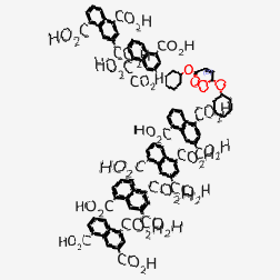 O=C(/C=C\C(=O)OC1CCCCC1)OC1CCCCC1.O=C(O)c1cc(C(=O)O)c2cccc(C(=O)O)c2c1.O=C(O)c1cc(C(=O)O)c2cccc(C(=O)O)c2c1.O=C(O)c1cc(C(=O)O)c2cccc(C(=O)O)c2c1.O=C(O)c1cc(C(=O)O)c2cccc(C(=O)O)c2c1.O=C(O)c1cc(C(=O)O)c2cccc(C(=O)O)c2c1.O=C(O)c1cc(C(=O)O)c2cccc(C(=O)O)c2c1